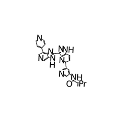 CC(C)C(=O)Nc1cncc(-c2ccc3[nH]nc(-c4nc5c(-c6ccncc6)cncc5[nH]4)c3n2)c1